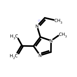 C=C(C)c1ncn(C)c1/N=C\C